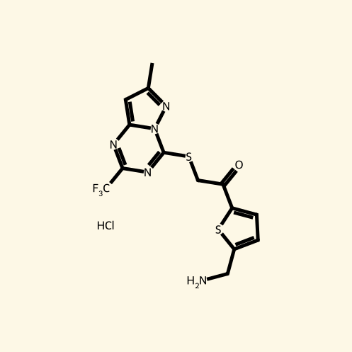 Cc1cc2nc(C(F)(F)F)nc(SCC(=O)c3ccc(CN)s3)n2n1.Cl